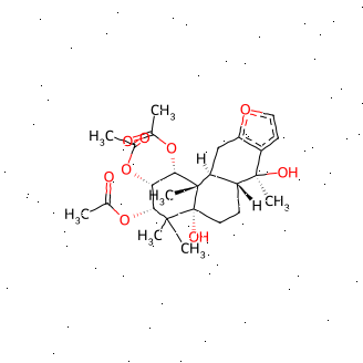 CC(=O)O[C@H]1[C@@H](OC(C)=O)C(C)(C)[C@]2(O)CC[C@@H]3[C@H](Cc4occc4[C@@]3(C)O)[C@@]2(C)[C@H]1OC(C)=O